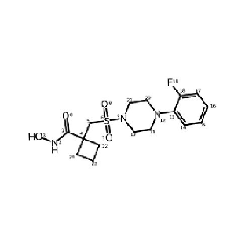 O=C(NO)C1(CS(=O)(=O)N2CCN(c3ccccc3F)CC2)CCC1